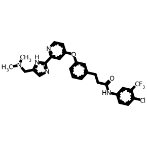 CN(C)Cc1cnc(-c2cc(Oc3cccc(CCC(=O)Nc4ccc(Cl)c(C(F)(F)F)c4)c3)ccn2)[nH]1